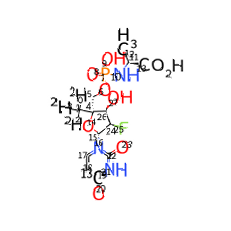 [2H]C([2H])([2H])[C@]1(COP(=O)(O)N[C@@H](C)C(=O)O)O[C@@H](n2cc[13c](=O)[nH]c2=O)[C@H](F)[C@@H]1O